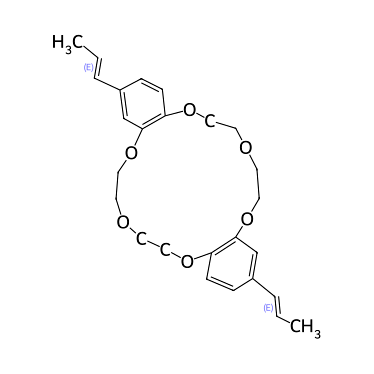 C/C=C/c1ccc2c(c1)OCCOCCOc1ccc(/C=C/C)cc1OCCOCCO2